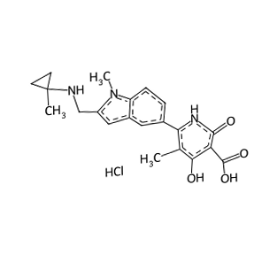 Cc1c(-c2ccc3c(c2)cc(CNC2(C)CC2)n3C)[nH]c(=O)c(C(=O)O)c1O.Cl